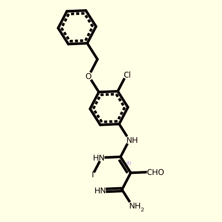 N=C(N)/C(C=O)=C(\NI)Nc1ccc(OCc2ccccc2)c(Cl)c1